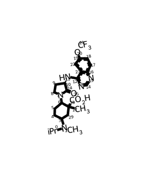 CC(C)N(C)C1CCC(N2CC[C@H](Nc3ncnc4ccc(OC(F)(F)F)cc34)C2=O)C(C)(C(=O)O)C1